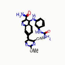 COc1ncc(-c2ccc3c(Nc4cccc(NC(N)=O)c4)c(C(N)=O)cnc3c2)c(OC)n1